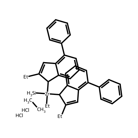 CC.CCC1=Cc2c(-c3ccccc3)cccc2[CH]1[Zr]([SiH3])([CH2]C)[CH]1C(CC)=Cc2c(-c3ccccc3)cccc21.Cl.Cl